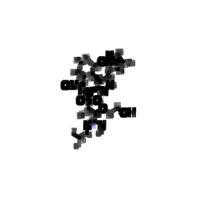 C=N/C(=N\C=C(C)C)[C@H](OCCO)[C@H](C)S(=O)(=O)Nc1nnc(-c2cncc(C)c2)n1-c1c(OC)cccc1OC